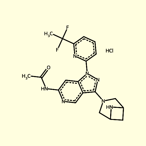 CC(=O)Nc1cc2c(cn1)c(N1CC3CC(C1)N3)nn2-c1cccc(C(C)(F)F)n1.Cl